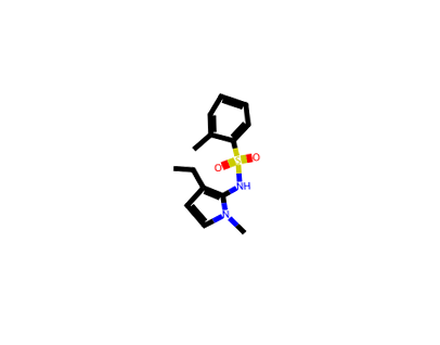 CCc1ccn(C)c1NS(=O)(=O)c1ccccc1C